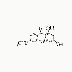 C=COc1ccc(C(=O)c2ccc(O)cc2O)c(O)c1